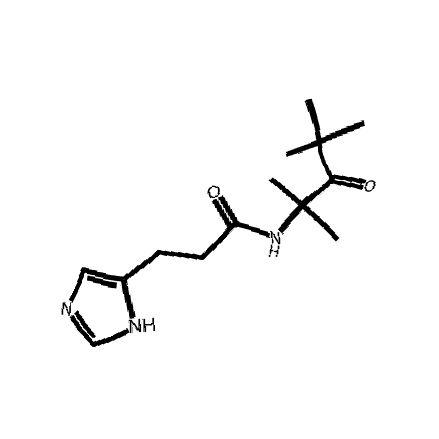 CC(C)(C)C(=O)C(C)(C)NC(=O)CCc1cnc[nH]1